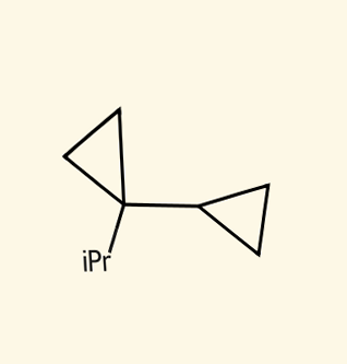 CC(C)C1(C2CC2)CC1